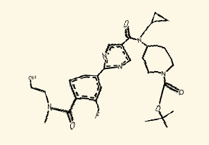 CN(CCO)C(=O)c1ccc(-c2ncc(C(=O)N(C3CC3)C3CCN(C(=O)OC(C)(C)C)CC3)cn2)cc1F